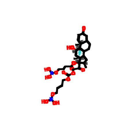 C[C@@H]1CC2C3CCC4=CC(=O)C=C[C@]4(C)[C@@]3(F)[C@@H](O)C[C@]2(C)[C@@]1(OC(=O)CCCON(O)O)C(=O)COC(=O)OCCCCON(O)O